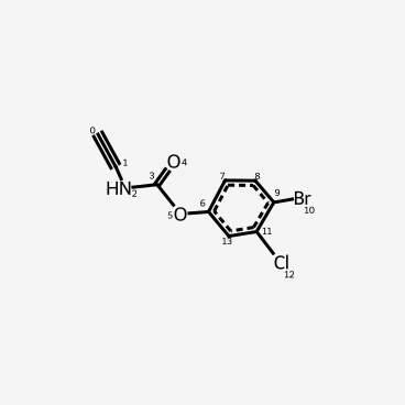 C#CNC(=O)Oc1ccc(Br)c(Cl)c1